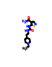 CCN1CCC(CCNC(=O)Nc2sncc2C(N)=O)CC1